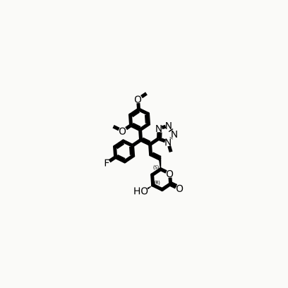 COc1ccc(C(=C(C=C[C@@H]2C[C@@H](O)CC(=O)O2)c2nnnn2C)c2ccc(F)cc2)c(OC)c1